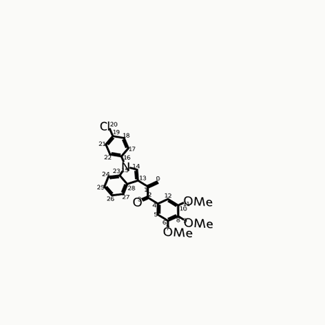 C=C(C(=O)c1cc(OC)c(OC)c(OC)c1)c1cn(-c2ccc(Cl)cc2)c2ccccc12